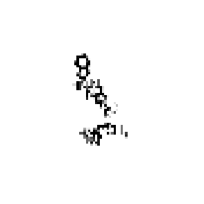 C[C@@H](Cc1cnn[nH]1)OCC(=O)N1Cc2cnc(NC3Cc4ccccc4C3)nc2C1